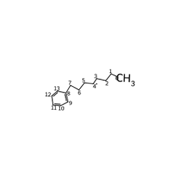 CCCC[CH]CCCc1ccccc1